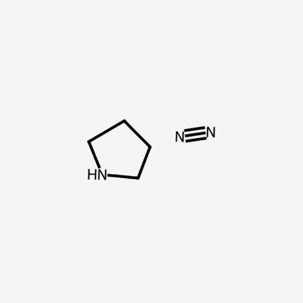 C1CCNC1.N#N